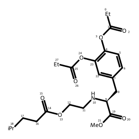 CCC(=O)Oc1ccc(C[C@H](NCCOC(=O)CCC(C)C)C(=O)OC)cc1OC(=O)CC